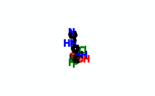 CC(O)(C(=O)Nc1ccc(NCc2ccncc2)cc1Cl)C(F)(F)F